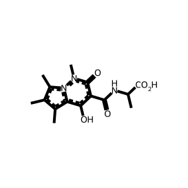 Cc1c(C)c2c(O)c(C(=O)NC(C)C(=O)O)c(=O)n(C)n2c1C